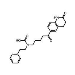 O=C1CCc2cc(C(=O)CCCCN(CCc3ccccc3)C(=O)O)ccc2N1